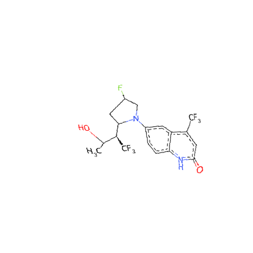 CC(O)[C@@H](C1CC(F)CN1c1ccc2[nH]c(=O)cc(C(F)(F)F)c2c1)C(F)(F)F